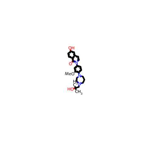 COc1cc(-n2ccc3cc(O)ccc3c2=O)ccc1N1CCCN(CC(C)(C)O)CC1